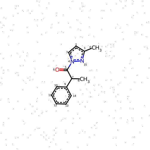 Cc1ccn(C(=O)C(C)c2ccccc2)n1